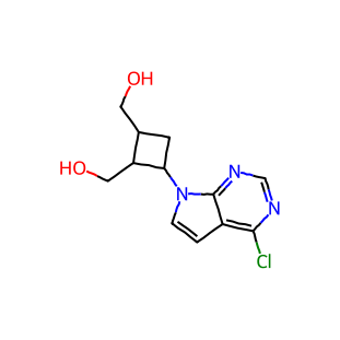 OCC1CC(n2ccc3c(Cl)ncnc32)C1CO